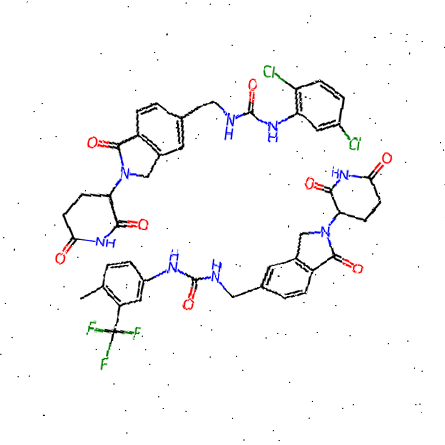 Cc1ccc(NC(=O)NCc2ccc3c(c2)CN(C2CCC(=O)NC2=O)C3=O)cc1C(F)(F)F.O=C1CCC(N2Cc3cc(CNC(=O)Nc4cc(Cl)ccc4Cl)ccc3C2=O)C(=O)N1